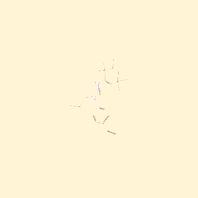 C=C(C)c1ccc(N(CC(C)C)c2nc3c(s2)C(C)(C)CC(C)C3(C)CC)cc1